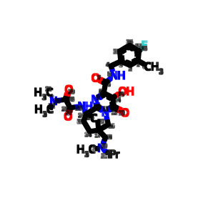 Cc1cc(CNC(=O)c2nc3n(c(=O)c2O)CC2(CN(C)C(C)C)CCC3(NC(=O)C(=O)N(C)C)CC2)ccc1F